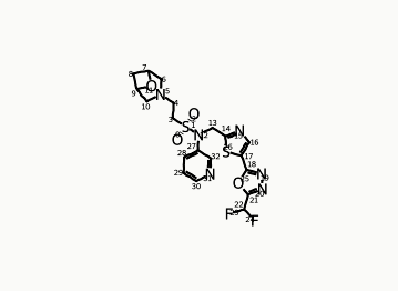 O=S(=O)(CCN1CC2CC(C1)O2)N(Cc1ncc(-c2nnc(C(F)F)o2)s1)c1cccnc1